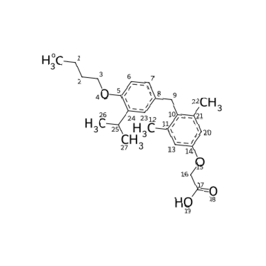 CCCCOc1ccc(Cc2c(C)cc(OCC(=O)O)cc2C)cc1C(C)C